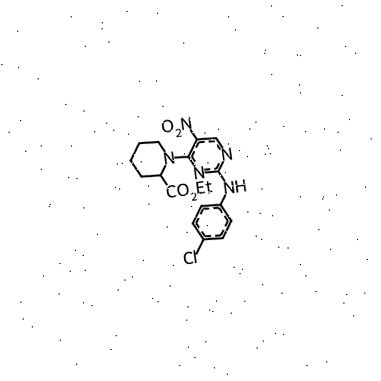 CCOC(=O)C1CCCCN1c1nc(Nc2ccc(Cl)cc2)ncc1[N+](=O)[O-]